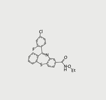 CCONC(=O)c1ccc2c(c1)N=C(c1ccc(Cl)cc1F)c1ccccc1S2